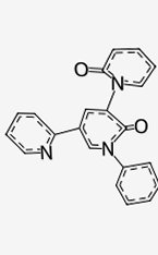 O=c1ccccn1-c1cc(-c2ccccn2)cn(-c2ccccc2)c1=O